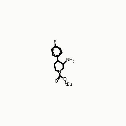 CC(C)(C)OC(=O)N1CCC(c2ccc(F)cc2)C(N)C1